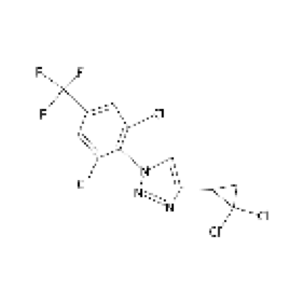 FC(F)(F)c1cc(Cl)c(-n2cc(C3CC3(Cl)Cl)nn2)c(Cl)c1